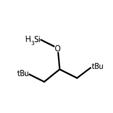 CC(C)(C)CC(CC(C)(C)C)O[SiH3]